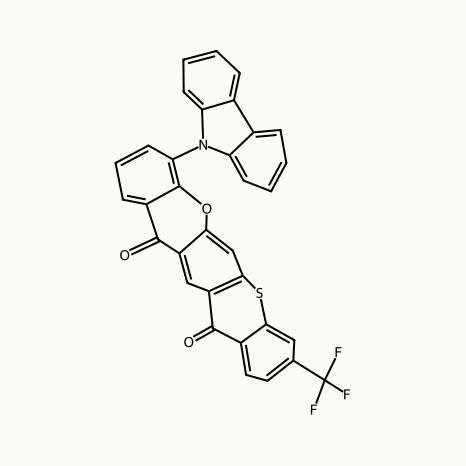 O=c1c2ccc(C(F)(F)F)cc2sc2cc3oc4c(-n5c6ccccc6c6ccccc65)cccc4c(=O)c3cc12